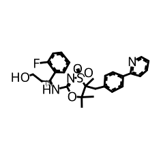 CC1(C)OC(N[C@@H](CCO)c2ccccc2F)=NS(=O)(=O)C1(C)Cc1ccc(-c2ccccn2)cc1